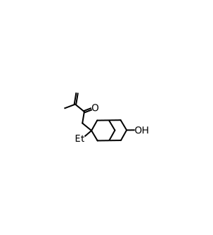 C=C(C)C(=O)CC1(CC)CC2CC(O)CC(C2)C1